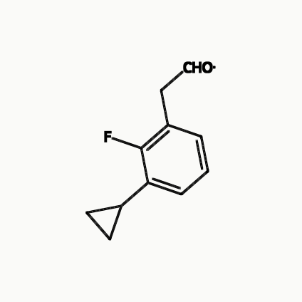 O=[C]Cc1cccc(C2CC2)c1F